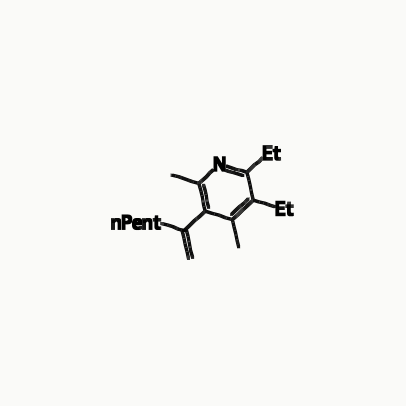 C=C(CCCCC)c1c(C)nc(CC)c(CC)c1C